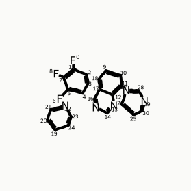 Fc1cccc(F)c1F.c1ccc2ncncc2c1.c1ccncc1.c1cncnc1